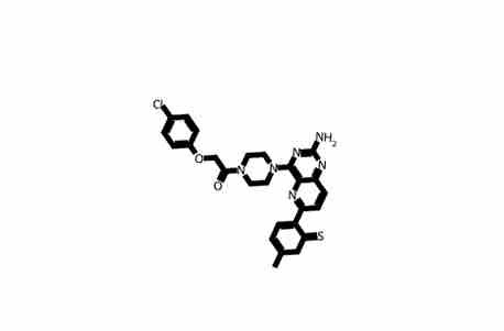 CC1=CC=C(c2ccc3nc(N)nc(N4CCN(C(=O)COc5ccc(Cl)cc5)CC4)c3n2)C(=S)C1